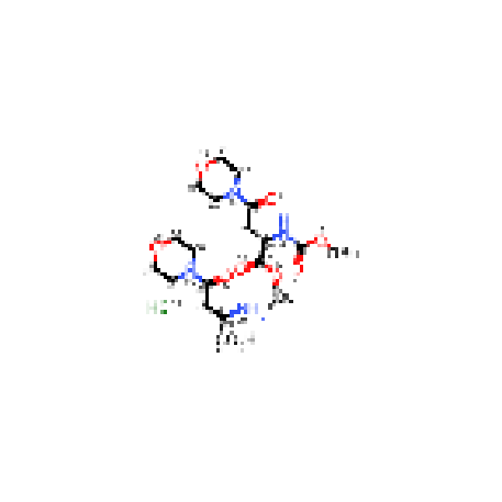 CC(C)(C)OC(=O)N[C@H](CC(=O)N1CCOCC1)C(=O)OC(C)(C)C.Cl.N[C@H](CC(=O)N1CCOCC1)C(=O)O